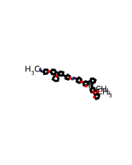 C/C=C/c1ccc(-c2ccc3c(c2)C2(CCCCC2)c2cc(-c4ccc(/C=C/c5ccc(-c6ccc7c(c6)c6ccccc6n7-c6ccc7c(c6)C(C)(C)c6ccccc6-7)cc5)cc4)ccc2-3)cc1